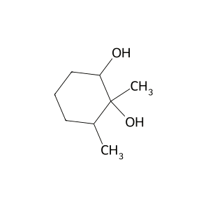 CC1CCCC(O)C1(C)O